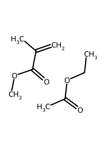 C=C(C)C(=O)OC.CCOC(C)=O